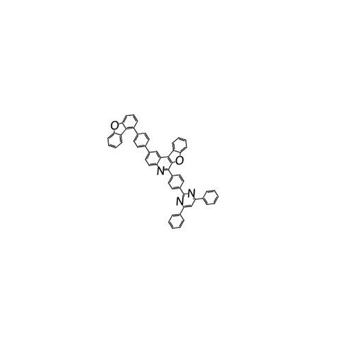 c1ccc(-c2cc(-c3ccccc3)nc(-c3ccc(-c4nc5ccc(-c6ccc(-c7cccc8oc9ccccc9c78)cc6)cc5c5c4oc4ccccc45)cc3)n2)cc1